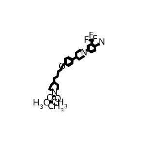 CC(C)(C)OC(=O)N1CCC(CCCCOc2ccc(C3CCN(c4ccc(C#N)c(C(F)(F)F)c4)CC3)cc2)CC1